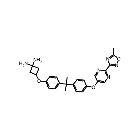 Cc1nc(-c2ncc(Oc3ccc(C(C)(C)c4ccc(OC5CC(N)(N)C5)cc4)cc3)cn2)no1